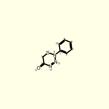 O=C1CSN(c2ccccc2)N=N1